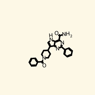 NC(=O)c1nc(-c2ccccc2)nc2c(C3CCN(C(=O)c4ccccc4)CC3)c[nH]c12